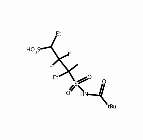 CCC(C(F)(F)C(C)(CC)S(=O)(=O)NC(=O)C(C)(C)C)S(=O)(=O)O